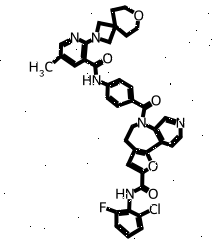 Cc1cnc(N2CC3(CCOCC3)C2)c(C(=O)Nc2ccc(C(=O)N3CCc4cc(C(=O)Nc5c(F)cccc5Cl)oc4-c4ccncc43)cc2)c1